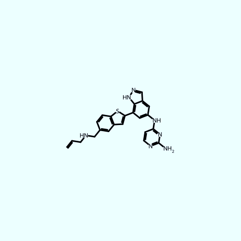 C=CCNCc1ccc2sc(-c3cc(Nc4ccnc(N)n4)cc4cn[nH]c34)cc2c1